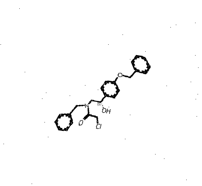 O=C(CCl)N(Cc1ccccc1)C[C@@H](O)c1ccc(OCc2ccccc2)cc1